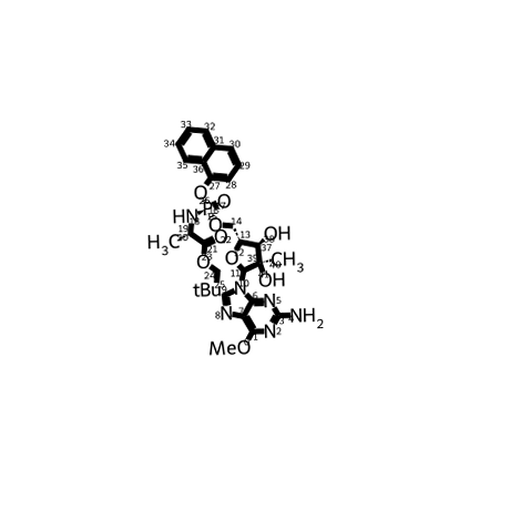 COc1nc(N)nc2c1ncn2C1O[C@H](CO[P@](=O)(N[C@@H](C)C(=O)OCC(C)(C)C)Oc2cccc3ccccc23)[C@@H](O)[C@@]1(C)O